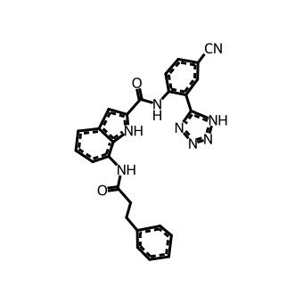 N#Cc1ccc(NC(=O)c2cc3cccc(NC(=O)CCc4ccccc4)c3[nH]2)c(-c2nnn[nH]2)c1